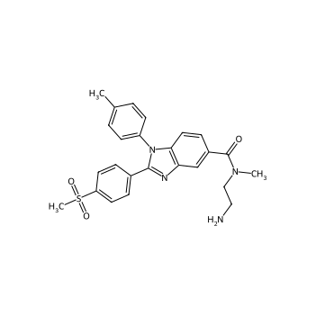 Cc1ccc(-n2c(-c3ccc(S(C)(=O)=O)cc3)nc3cc(C(=O)N(C)CCN)ccc32)cc1